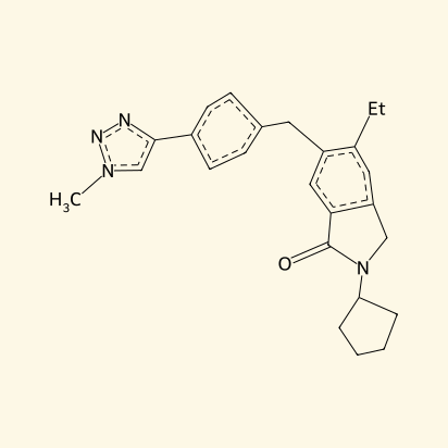 CCc1cc2c(cc1Cc1ccc(-c3cn(C)nn3)cc1)C(=O)N(C1CCCC1)C2